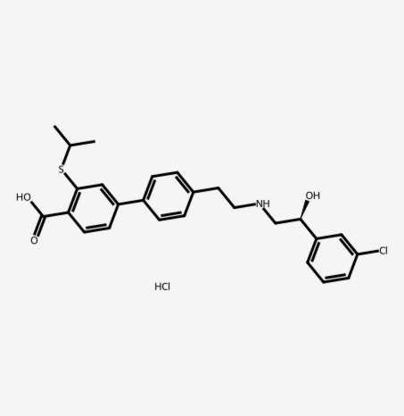 CC(C)Sc1cc(-c2ccc(CCNC[C@@H](O)c3cccc(Cl)c3)cc2)ccc1C(=O)O.Cl